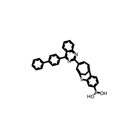 OB(O)c1ccc2c(c1)SC1=CC(c3nc(-c4ccc(-c5ccccc5)cc4)c4ccccc4n3)=CC=C2C1